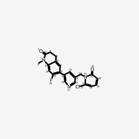 CN1C(=O)CCc2cc(-c3cncc(Cn4c(Cl)cccc4=O)c3)c(F)cc21